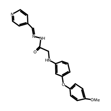 COc1ccc(Oc2cccc(NCC(=O)N/N=C/c3ccncc3)c2)cc1